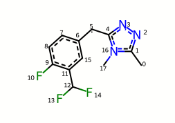 Cc1nnc([CH]c2ccc(F)c(C(F)F)c2)n1C